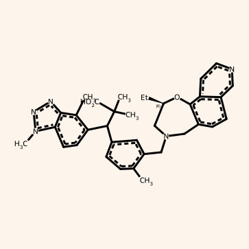 CC[C@@H]1CN(Cc2cc(C(c3ccc4c(nnn4C)c3C)C(C)(C)C(=O)O)ccc2C)Cc2ccc3cnccc3c2O1